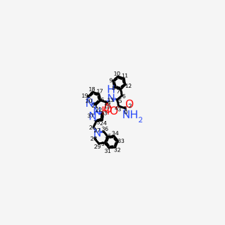 NC(=O)C(O)C(Cc1ccccc1)NC(=O)c1cccnc1-n1ccc(CN2CCc3ccccc3C2)n1